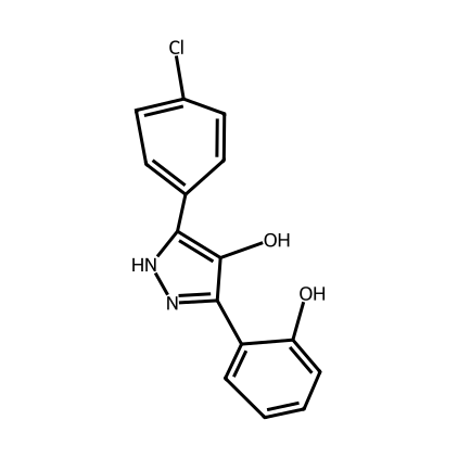 Oc1ccccc1-c1n[nH]c(-c2ccc(Cl)cc2)c1O